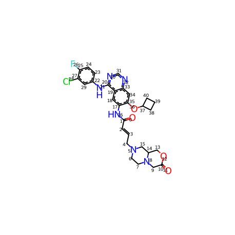 O=C(C=CCN1CCN2CC(=O)OCC2C1)Nc1cc2c(Nc3ccc(F)c(Cl)c3)ncnc2cc1OC1CCC1